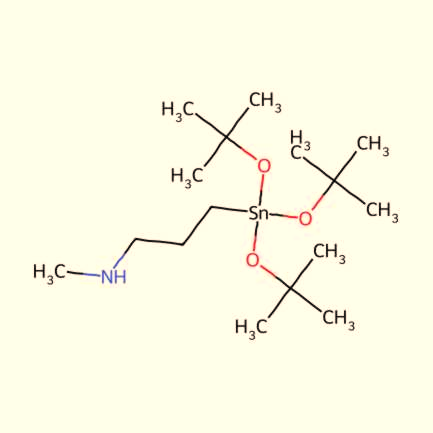 CNCC[CH2][Sn]([O]C(C)(C)C)([O]C(C)(C)C)[O]C(C)(C)C